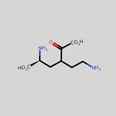 NCCC(C[C@H](N)C(=O)O)C(=O)C(=O)O